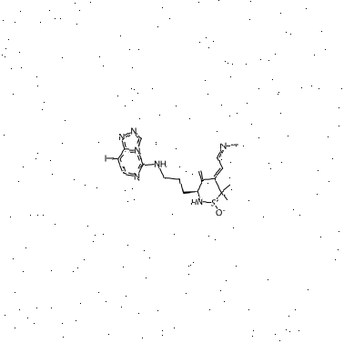 C=C1/C(=C\C=N/C)C(C)(C)[S+]([O-])N[C@H]1CCCNc1ncc(I)c2nncn12